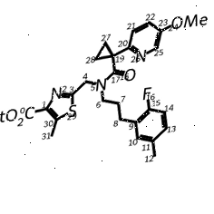 CCOC(=O)c1nc(CN(CCCc2cc(C)ccc2F)C(=O)C2(c3ccc(OC)cn3)CC2)sc1C